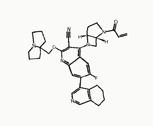 C=CC(=O)N1CC[C@@H]2[C@H]1CN2c1c(C#N)c(OCC23CCCN2CCC3)nc2cc(-c3cncc4c3CCCC4)c(F)cc12